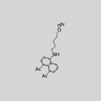 CCCOCCCCCNc1ccc(C(C)=O)c2c(C(C)=O)cccc12